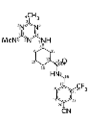 CNc1nc(C)nc(N[C@@H]2CCC[C@H](C(=O)NCc3ccc(C#N)cc3C(F)(F)F)C2)n1